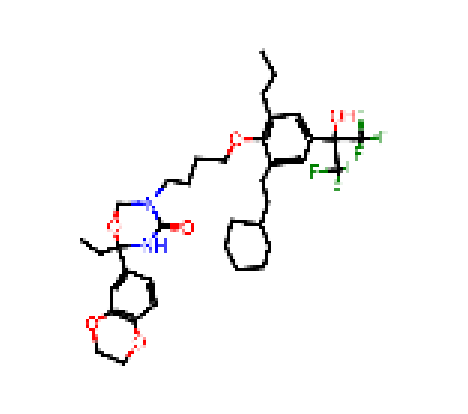 CCCc1cc(C(O)(C(F)(F)F)C(F)(F)F)cc(CCC2CCCCC2)c1OCCCCN1COC(CC)(c2ccc3c(c2)OCCO3)NC1=O